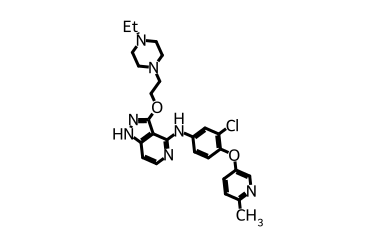 CCN1CCN(CCOc2n[nH]c3ccnc(Nc4ccc(Oc5ccc(C)nc5)c(Cl)c4)c23)CC1